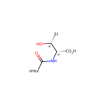 CCCCCCC(=O)N[C@@H](C(=O)O)[C@H](O)CC